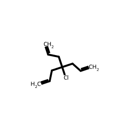 C=CCC(Cl)(CC=C)CC=C